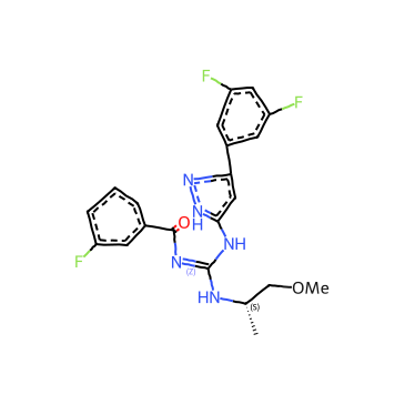 COC[C@H](C)N/C(=N/C(=O)c1cccc(F)c1)Nc1cc(-c2cc(F)cc(F)c2)n[nH]1